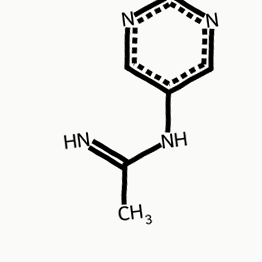 CC(=N)Nc1cncnc1